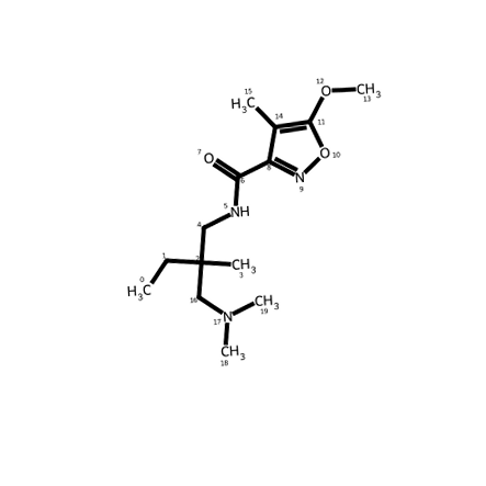 CCC(C)(CNC(=O)c1noc(OC)c1C)CN(C)C